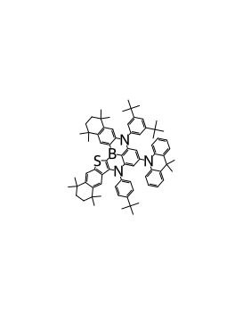 CC(C)(C)c1ccc(N2c3cc(N4c5ccccc5C(C)(C)c5ccccc54)cc4c3B(c3cc5c(cc3N4c3cc(C(C)(C)C)cc(C(C)(C)C)c3)C(C)(C)CCC5(C)C)c3sc4cc5c(cc4c32)C(C)(C)CCC5(C)C)cc1